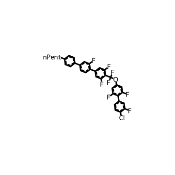 CCCCCc1ccc(-c2ccc(-c3cc(F)c(C(F)(F)Oc4cc(F)c(-c5ccc(Cl)c(F)c5)c(F)c4)c(F)c3)c(F)c2)cc1